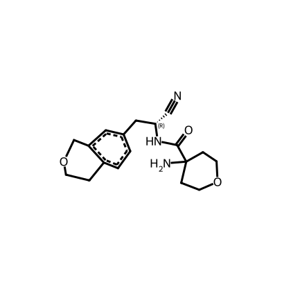 N#C[C@@H](Cc1ccc2c(c1)COCC2)NC(=O)C1(N)CCOCC1